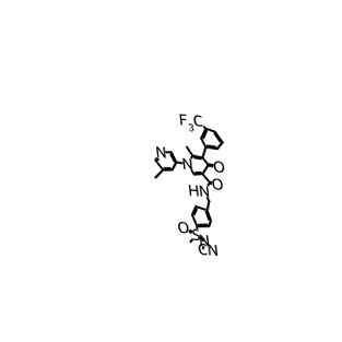 Cc1cncc(-n2cc(C(=O)NCc3ccc(S(C)(=O)=NC#N)cc3)c(=O)c(-c3cccc(C(F)(F)F)c3)c2C)c1